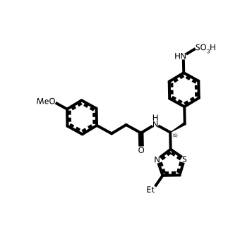 CCc1csc([C@H](Cc2ccc(NS(=O)(=O)O)cc2)NC(=O)CCc2ccc(OC)cc2)n1